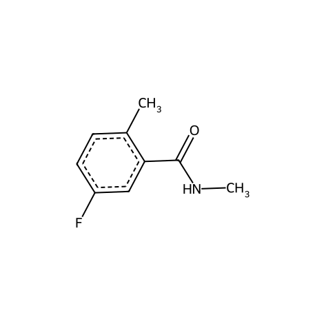 CNC(=O)c1cc(F)ccc1C